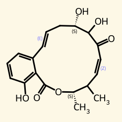 CC1/C=C\C(=O)C(O)[C@@H](O)C/C=C/c2cccc(O)c2C(=O)O[C@H]1C